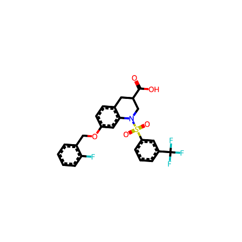 O=C(O)C1Cc2ccc(OCc3ccccc3F)cc2N(S(=O)(=O)c2cccc(C(F)(F)F)c2)C1